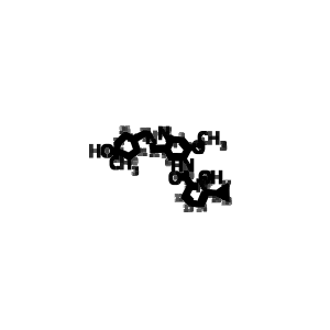 COc1cc2c(cc1NC(=O)c1cccc(C3CC3)[n+]1O)=C/[N+](=C\C1CCC(C)(O)CC1)N=2